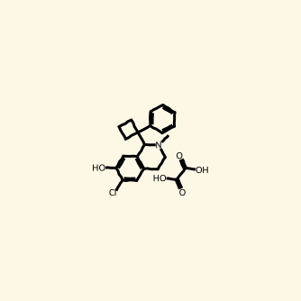 CN1CCc2cc(Cl)c(O)cc2C1C1(c2ccccc2)CCC1.O=C(O)C(=O)O